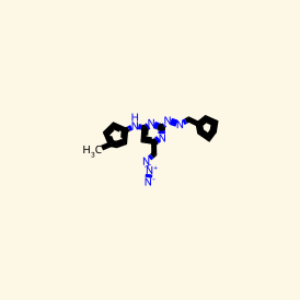 Cc1ccc(Nc2cc(CN=[N+]=[N-])nc(N=NCc3ccccc3)n2)cc1